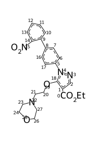 CCOC(=O)c1cnn(-c2ccc(-c3ccccc3[N+](=O)[O-])cc2)c1OCCN1CCOCC1